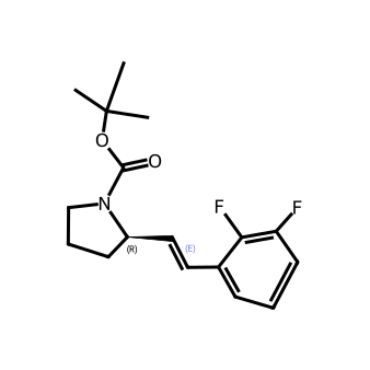 CC(C)(C)OC(=O)N1CCC[C@@H]1/C=C/c1cccc(F)c1F